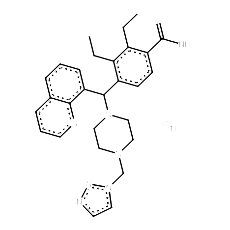 CCc1c(C(N)=O)ccc(C(c2cccc3cccnc23)N2CCN(Cn3ccnn3)CC2)c1CC.Cl.Cl